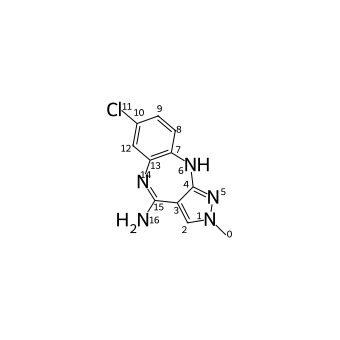 Cn1cc2c(n1)Nc1ccc(Cl)cc1N=C2N